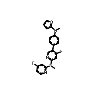 CN(c1cc(F)ccn1)c1cc(F)c(-c2ccc(N(C)c3ccco3)cc2)cn1